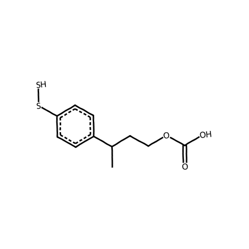 CC(CCOC(=O)O)c1ccc(SS)cc1